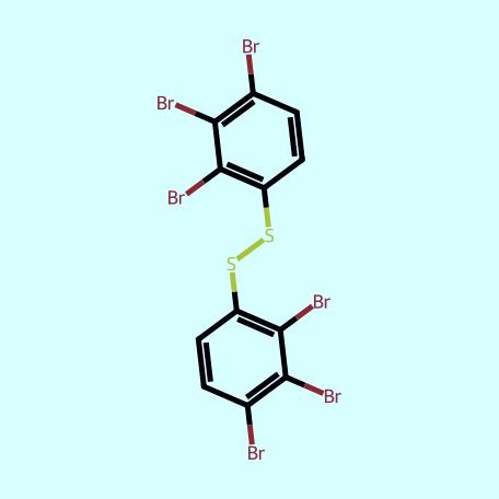 Brc1ccc(SSc2ccc(Br)c(Br)c2Br)c(Br)c1Br